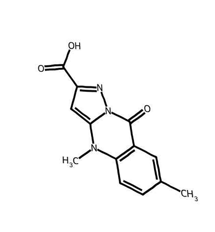 Cc1ccc2c(c1)c(=O)n1nc(C(=O)O)cc1n2C